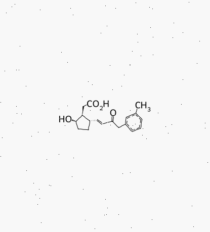 Cc1cccc(CC(=O)/C=C/[C@@H]2CC[C@@H](O)[C@H]2CC(=O)O)c1